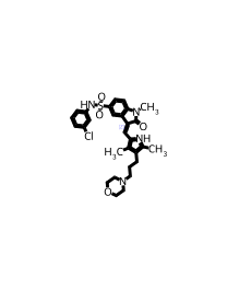 Cc1[nH]c(/C=C2\C(=O)N(C)c3ccc(S(=O)(=O)Nc4cccc(Cl)c4)cc32)c(C)c1CCCN1CCOCC1